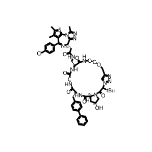 Cc1sc2c(c1C)C(c1ccc(Cl)cc1)=N[C@@H](CC(=O)NC[C@H]1NC(=O)CNC(=O)[C@@H](Cc3ccc(-c4ccccc4)cc3)NC(=O)[C@@H]3C[C@@H](O)CN3C(=O)C(C(C)(C)C)n3cc(nn3)COCCNC1=O)c1nnc(C)n1-2